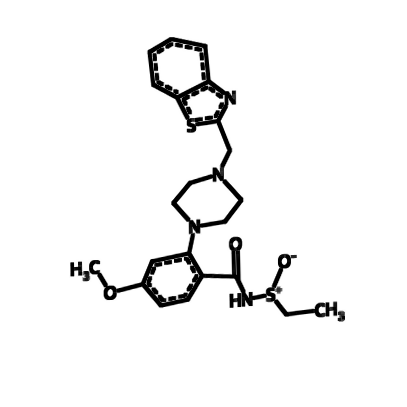 CC[S+]([O-])NC(=O)c1ccc(OC)cc1N1CCN(Cc2nc3ccccc3s2)CC1